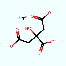 O=C([O-])CC(O)(CC(=O)[O-])C(=O)[O-].[Hg+3]